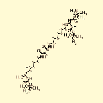 CC(CCNCCCCNC(=O)CC(=O)NCCCCCCCCN/C(=N/C(=O)OC(C)(C)C)NC(=O)OC(C)(C)C)NC(=O)OC(C)(C)C